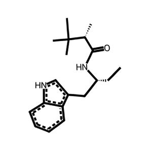 CC[C@H](Cc1c[nH]c2ccccc12)NC(=O)[C@@H](C)C(C)(C)C